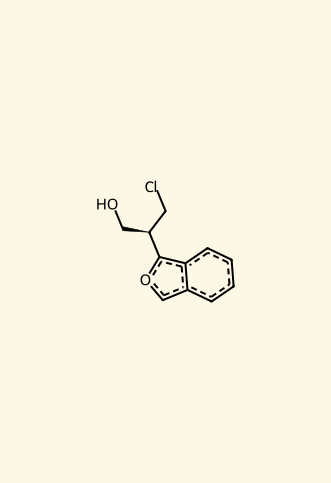 OC[C@@H](CCl)c1occ2ccccc12